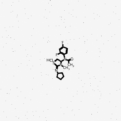 CC(=O)N(c1ccc(F)cc1F)C1CSC(=NC2CCCC2)N1C.Cl